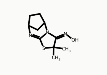 CC1(C)SC2=NC3CCC(C3)N2C1=NO